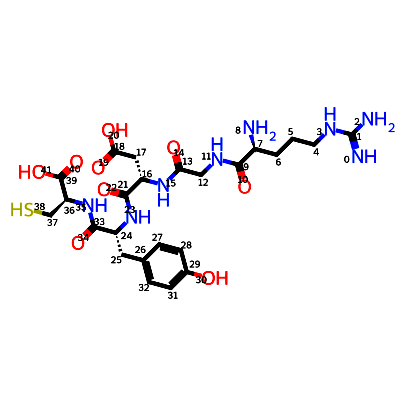 N=C(N)NCCC[C@H](N)C(=O)NCC(=O)N[C@@H](CC(=O)O)C(=O)N[C@H](Cc1ccc(O)cc1)C(=O)N[C@@H](CS)C(=O)O